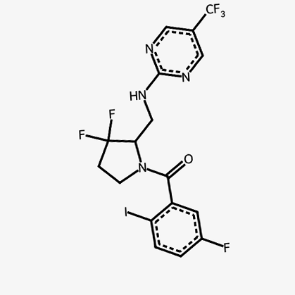 O=C(c1cc(F)ccc1I)N1CCC(F)(F)C1CNc1ncc(C(F)(F)F)cn1